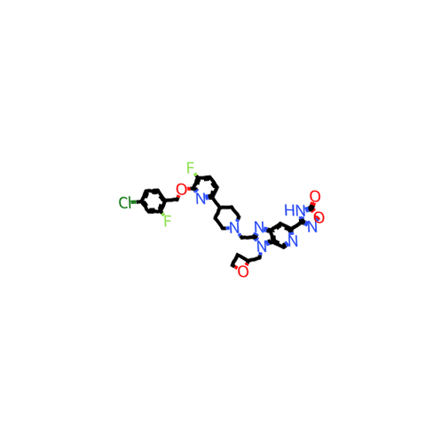 O=c1[nH]c(-c2cc3nc(CN4CCC(c5ccc(F)c(OCc6ccc(Cl)cc6F)n5)CC4)n(CC4CCO4)c3cn2)no1